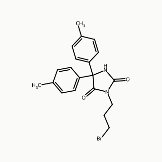 Cc1ccc(C2(c3ccc(C)cc3)NC(=O)N(CCCBr)C2=O)cc1